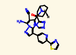 N#Cc1c(C2CC3CC[C@H](C2)N3C(=O)c2nnc[nH]2)nc2c(-c3ccc(-c4nccs4)nc3)cnn2c1N